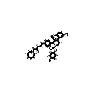 C#CC1=C(c2cc(Cl)ccc2C)CCN(C(=O)Oc2ccc(F)cc2)C1c1ccc(CCCC(I)CN2CCCCCC2)cc1